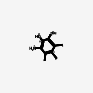 CCCCc1c(C)c(C)c(C)c(N)c1O